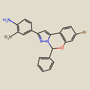 Nc1ccc(-c2cc3n(n2)C(c2ccccc2)Oc2cc(Br)ccc2-3)cc1[N+](=O)[O-]